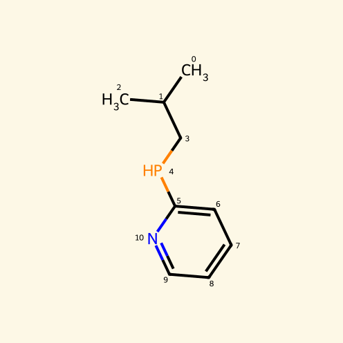 CC(C)CPc1ccccn1